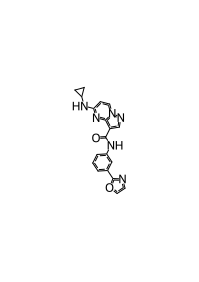 O=C(Nc1cccc(-c2ncco2)c1)c1cnn2ccc(NC3CC3)nc12